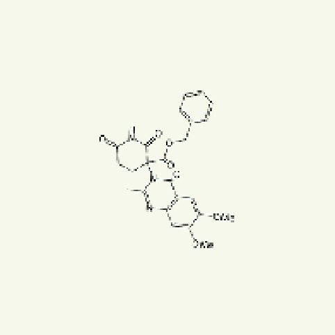 COc1cc2nc(C)n(C3(C(=O)OCc4ccccc4)CCC(=O)NC3=O)c(=O)c2cc1OC